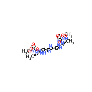 COC(=O)N[C@H](C(=O)N1C2C(C)C2C[C@H]1c1nc2ccc(-c3cnc4cc(-c5ccc6nc([C@@H]7CC8C(C)C8N7C(=O)[C@@H](NC(=O)OC)C7CCOCC7)[nH]c6c5)cnc4c3)cc2[nH]1)C1CCOCC1